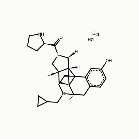 Cl.Cl.O=C([C@H]1CCCN1)N1C[C@H]2C[C@@]34CC[C@@H]1[C@@H]2[C@@]31CCN(CC2CC2)[C@@H]4Cc2ccc(O)cc21